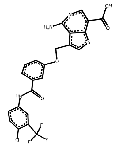 Nc1ncc(C(=O)O)c2scc(COc3cccc(C(=O)Nc4ccc(Cl)c(C(F)(F)F)c4)c3)c12